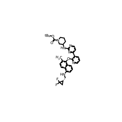 Cc1ccc2c(NC[C@@H]3CC3(F)F)cccc2c1Oc1ncccc1-c1ccnc(NC2CCCN(C(=O)OC(C)(C)C)C2)n1